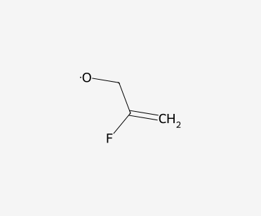 C=C(F)C[O]